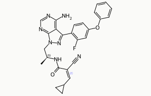 C[C@@H](Cn1nc(-c2ccc(Oc3ccccc3)cc2F)c2c(N)ncnc21)NC(=O)/C(C#N)=C\C1CC1